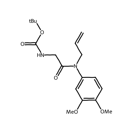 C=CCN(C(=O)CNC(=O)OC(C)(C)C)c1ccc(OC)c(OC)c1